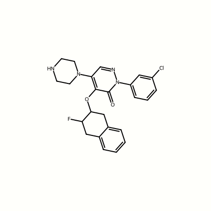 O=c1c(OC2Cc3ccccc3CC2F)c(N2CCNCC2)cnn1-c1cccc(Cl)c1